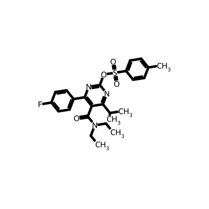 CCN(CC)C(=O)c1c(-c2ccc(F)cc2)nc(OS(=O)(=O)c2ccc(C)cc2)nc1C(C)C